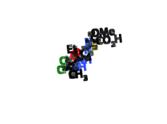 CCO[C@H]1CN(c2nc(COC)c(C(=O)O)s2)CC[C@H]1NC(=O)c1[nH]c(C)c(Cl)c1Cl